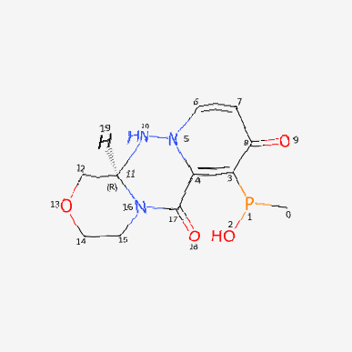 CP(O)c1c2n(ccc1=O)N[C@@H]1COCCN1C2=O